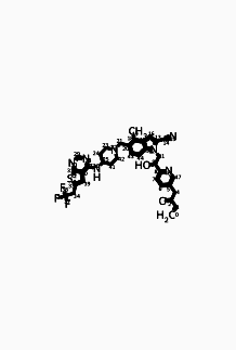 C=CC(=O)Cc1ccc(C(O)Cn2c(C#N)cc3c(C)c(CN4CCC(Nc5ncnc6sc(CC(F)(F)F)cc56)CC4)ccc32)nc1